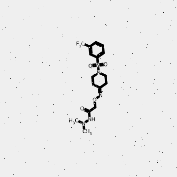 CN(C)NC(=O)CON=C1CCN(S(=O)(=O)c2cccc(C(F)(F)F)c2)CC1